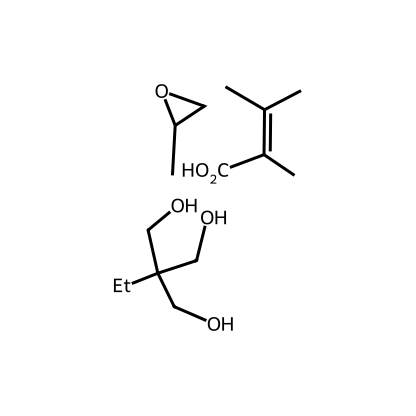 CC(C)=C(C)C(=O)O.CC1CO1.CCC(CO)(CO)CO